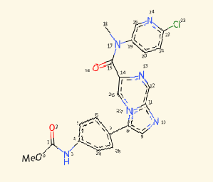 COC(=O)Nc1ccc(-c2cnc3cnc(C(=O)N(C)c4ccc(Cl)nc4)cn23)cc1